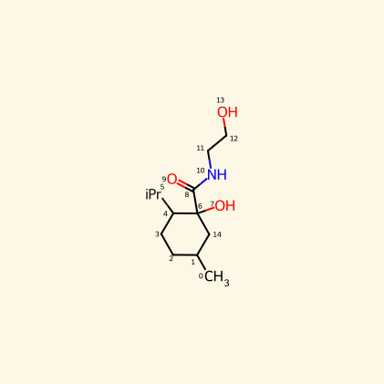 CC1CCC(C(C)C)C(O)(C(=O)NCCO)C1